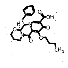 CCCCOc1c2n(cc(C(=O)O)c1=O)[C@@H](Cc1ccccc1)[C@@H]1OCCCN1C2=O